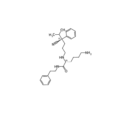 CC(C)[C@@](C#N)(CCCN[C@H](CCCCN)C(=O)NCCc1ccccc1)c1ccccc1